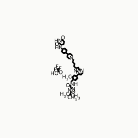 Cc1cc(-c2ccnc3cc(CCCCN4CCC(c5ccc(NC6CCC(=O)NC6=O)cc5)CC4)nn23)ccc1CNC(=O)c1noc(C(C)(C)C)n1.O=C(O)C(F)(F)F